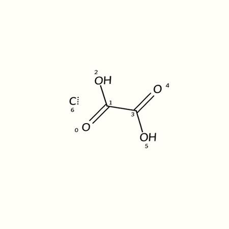 O=C(O)C(=O)O.[C]